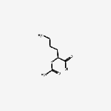 CCCCC(SC(N)=O)C(=O)O